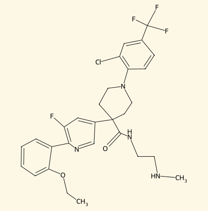 CCOc1ccccc1-c1ncc(C2(C(=O)NCCNC)CCN(c3ccc(C(F)(F)F)cc3Cl)CC2)cc1F